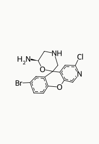 N[C@H]1CNCC2(O1)c1cc(Br)ccc1Oc1cnc(Cl)cc12